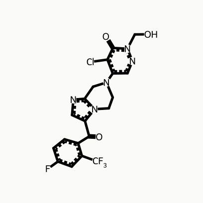 O=C(c1ccc(F)cc1C(F)(F)F)c1cnc2n1CCN(c1cnn(CO)c(=O)c1Cl)C2